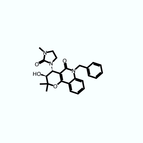 CN1CCN([C@@H]2c3c(c4ccccc4n(Cc4ccccc4)c3=O)OC(C)(C)[C@H]2O)C1=O